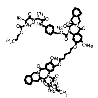 C=CCOC(=O)N[C@H](C(=O)N[C@@H](C)C(=O)Nc1ccc(COC(=O)N2c3cc(OCCCCCOc4cc5c(cc4OC)C(=O)N4Cc6ccccc6C[C@H]4C(O[Si](C)(C)C(C)(C)C)N5C(=O)OCC=C)c(OC)cc3C(=O)N3Cc4ccccc4C[C@H]3C2OS)cc1)C(C)C